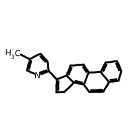 Cc1ccc(C2=CCc3c2ccc2c3ccc3ccccc32)nc1